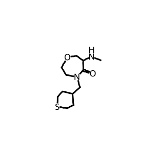 CNC1COCCN(CC2CCSCC2)C1=O